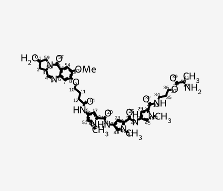 C=C1CC2C=Nc3cc(OCCCC(=O)Nc4cc(C(=O)Nc5cc(C(=O)Nc6cc(C(=O)NCCCOC(=O)[C@H](C)N)n(C)c6)n(C)c5)n(C)c4)c(OC)cc3C(=O)N2C1